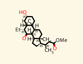 CC[C@H]1C(=O)[C@@H]2[C@H](CC[C@]3(C)[C@@H]([C@H](C)CC(=O)OC)CC[C@@H]23)[C@@]2(C)CC[C@@H](O)C[C@@H]12